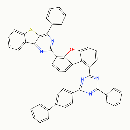 c1ccc(-c2ccc(-c3nc(-c4ccccc4)nc(-c4cccc5oc6c(-c7nc(-c8ccccc8)c8sc9ccccc9c8n7)cccc6c45)n3)cc2)cc1